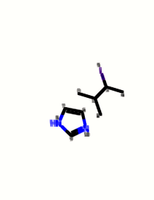 CC(C)C(C)I.c1c[nH]cn1